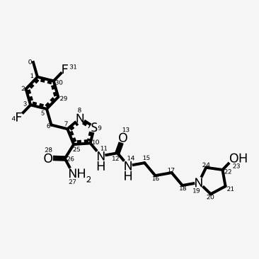 Cc1cc(F)c(Cc2nsc(NC(=O)NCCCCN3CCC(O)C3)c2C(N)=O)cc1F